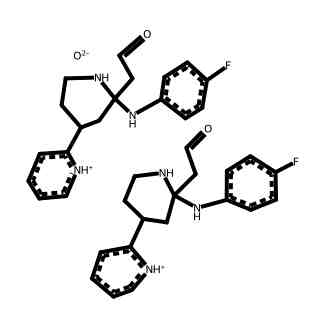 O=CCC1(Nc2ccc(F)cc2)CC(c2cccc[nH+]2)CCN1.O=CCC1(Nc2ccc(F)cc2)CC(c2cccc[nH+]2)CCN1.[O-2]